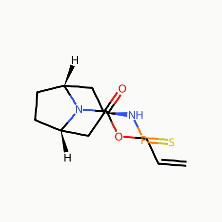 C=CCOC(=O)N1[C@@H]2CC[C@H]1C[C@H](NP=S)C2